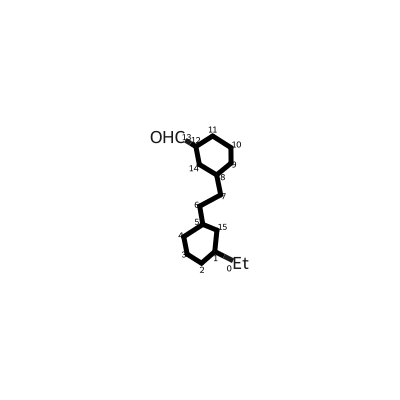 CCC1CCCC(CCC2CCCC(C=O)C2)C1